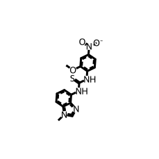 COc1cc([N+](=O)[O-])ccc1NC(=S)Nc1cccc2c1ncn2C